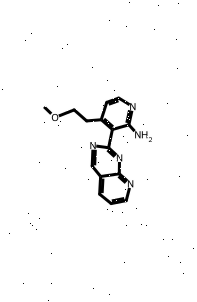 COCCc1ccnc(N)c1-c1ncc2cccnc2n1